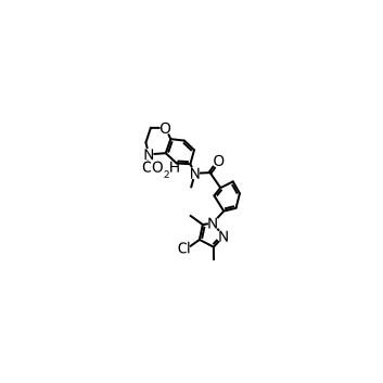 Cc1nn(-c2cccc(C(=O)N(C)c3ccc4c(c3)N(C(=O)O)CCO4)c2)c(C)c1Cl